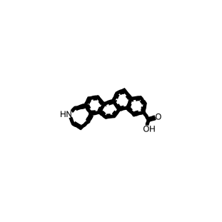 O=C(O)c1ccc2ccc3c4ccc5c(c4ccc3c2c1)=CC=CNC=5